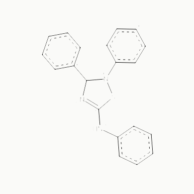 c1ccc(NC2=NC(c3ccccc3)N(c3ccccc3)S2)cc1